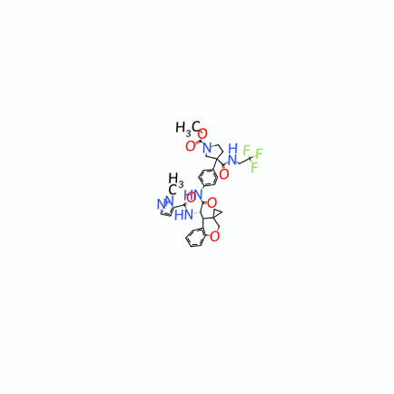 COC(=O)N1CCC(C(=O)NCC(F)(F)F)(c2ccc(NC(=O)[C@@H](NC(=O)c3ccnn3C)C3c4ccccc4OCC34CC4)cc2)C1